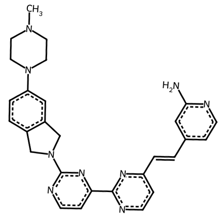 CN1CCN(c2ccc3c(c2)CN(c2nccc(-c4nccc(/C=C/c5ccnc(N)c5)n4)n2)C3)CC1